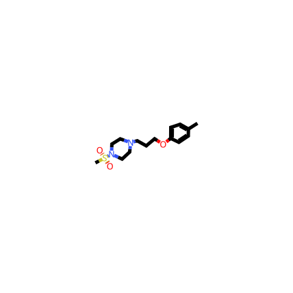 Cc1ccc(OCCCN2CCN(S(C)(=O)=O)CC2)cc1